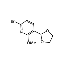 COc1nc(Br)ccc1C1OCCO1